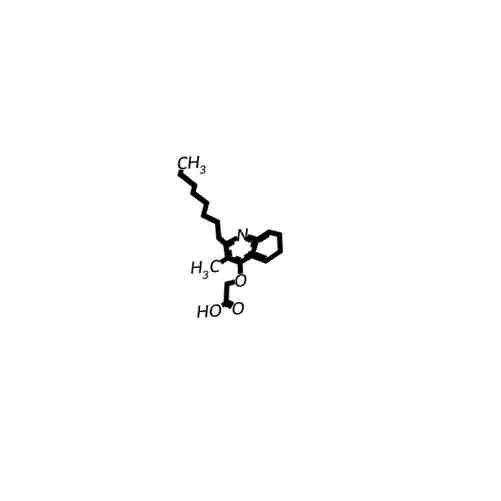 CCCCCCCCc1nc2c(c(OCC(=O)O)c1C)=CCCC=2